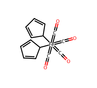 O=[C]=[Fe](=[C]=O)(=[C]=O)(=[C]=O)([CH]1C=CC=C1)[CH]1C=CC=C1